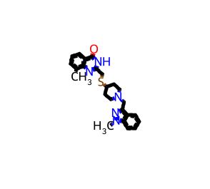 Cc1cccc2c(=O)[nH]c(CSC3CCN(Cc4nn(C)c5ccccc45)CC3)nc12